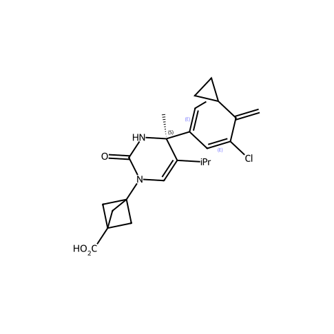 C=C(/C(Cl)=C\C(=C/C)[C@]1(C)NC(=O)N(C23CC(C(=O)O)(C2)C3)C=C1C(C)C)C1CC1